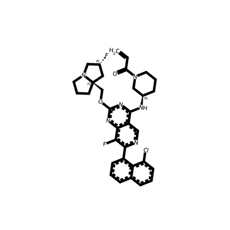 C=CC(=O)N1CCC[C@@H](Nc2nc(OC[C@@]34CCCN3C[C@H](F)C4)nc3c(F)c(-c4cccc5cccc(Cl)c45)ncc23)C1